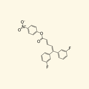 O=C(C=CC=C(c1cccc(F)c1)c1cccc(F)c1)Oc1ccc([N+](=O)[O-])cc1